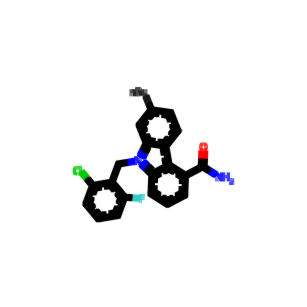 CCCCc1c[c]c2c3c(C(N)=O)cccc3n(Cc3c(F)cccc3Cl)c2c1